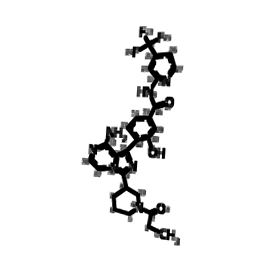 CCC(=O)N1CCCC(c2nc(-c3ccc(C(=O)Nc4cc(C(F)(F)F)ccn4)cc3O)c3c(N)nccn23)C1